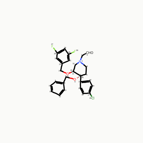 O=CCN1CC[C@@](OCc2ccccc2)(c2ccc(Cl)cc2)[C@@H](OCc2cc(F)cc(F)c2)C1